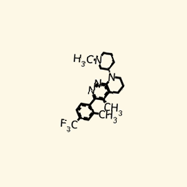 Cc1cc(C(F)(F)F)ccc1-c1nnc2c(c1C)CCCN2[C@H]1CCCN(C)C1